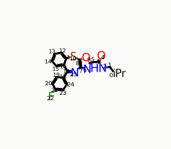 CC(C)CNC(=O)c1nc2c(o1)Sc1ccccc1C(c1ccc(F)cc1)=N2